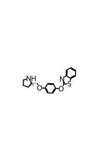 c1ccc2sc(Oc3ccc(OC[C@@H]4CCCN4)cc3)nc2c1